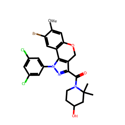 COc1cc2c(cc1Br)-c1c(c(C(=O)N3CCC(O)CC3(C)C)nn1-c1cc(Cl)cc(Cl)c1)CO2